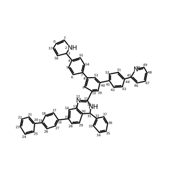 C1=CNC(c2ccc(-c3cc(C4=Nc5cc(-c6ccc(-c7ccccc7)cc6)ccc5C(c5ccccc5)N4)cc(-c4ccc(-c5ccccn5)cc4)c3)cc2)C=C1